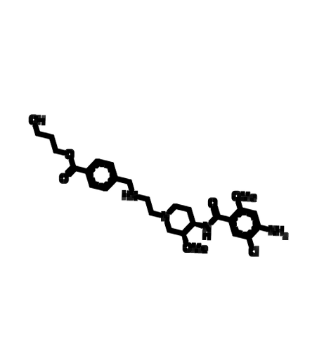 COc1cc(N)c(Cl)cc1C(=O)N[C@@H]1CCN(CCNCc2ccc(C(=O)OCCCO)cc2)C[C@@H]1OC